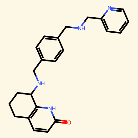 O=c1ccc2c([nH]1)C(NCc1ccc(CNCc3ccccn3)cc1)CCC2